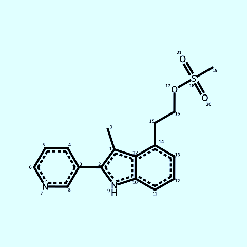 Cc1c(-c2cccnc2)[nH]c2cccc(CCOS(C)(=O)=O)c12